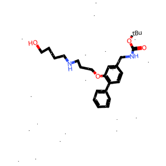 CC(C)(C)OC(=O)NCc1ccc(-c2ccccc2)c(OCCCNCCCCO)c1